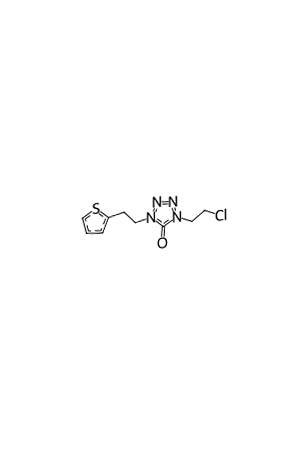 O=c1n(CCCl)nnn1CCc1cccs1